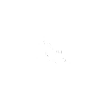 NC(=O)Nc1n[n+]([O-])c2ccccc2[n+]1[O-]